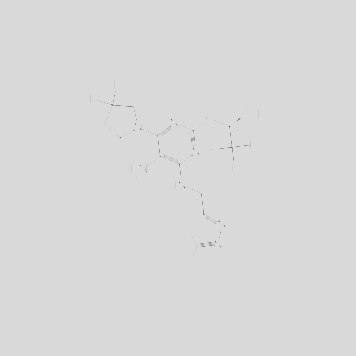 Cc1nnc(CNc2nc(O[C@@H](C)C(F)(F)F)nc(N3CCC(F)(F)C3)c2N)o1